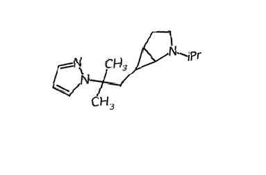 CC(C)N1CCC2C(CC(C)(C)n3cccn3)C21